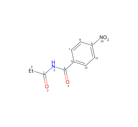 CCC(=O)NC(=O)c1ccc([N+](=O)[O-])cc1